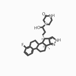 C[C@]12CCC3c4cccc(F)c4CCC3C1[C@H](CCC(O)N1CCNC(=O)C1)c1c[nH]nc12